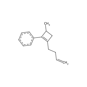 C=CCCC1=C(c2ccccc2)C(C)C1